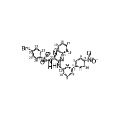 O=[N+]([O-])c1ccc(-c2cccc(Nc3nc4ccccc4nc3NS(=O)(=O)c3ccc(Br)cc3)c2)cc1